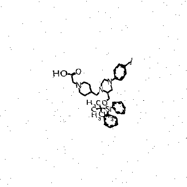 CC(C)(C)[Si](OCC1CN(c2ccc(I)cc2)CCN1CC1CCN(CC(=O)O)CC1)(c1ccccc1)c1ccccc1